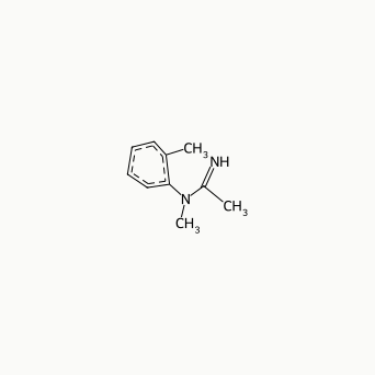 CC(=N)N(C)c1ccccc1C